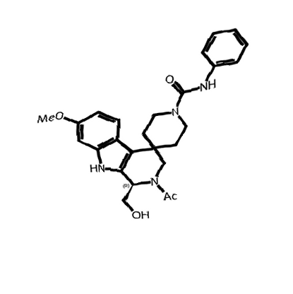 COc1ccc2c3c([nH]c2c1)[C@H](CO)N(C(C)=O)CC31CCN(C(=O)Nc2ccccc2)CC1